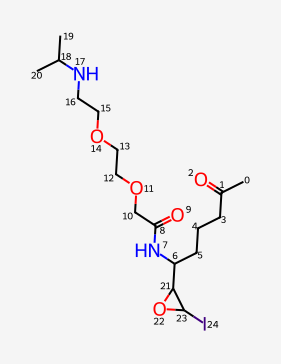 CC(=O)CCCC(NC(=O)COCCOCCNC(C)C)C1OC1I